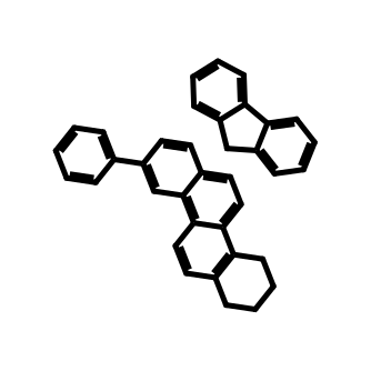 c1ccc(-c2ccc3ccc4c5c(ccc4c3c2)CCCC5)cc1.c1ccc2c(c1)Cc1ccccc1-2